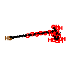 C[C@H](O[C@@H]1O[C@@H](CO)C(O)C(O)C1O)C(CO)OC(OCCOCCOCCOCCOCCOCCOCCCCCCCCCCCS)[C@@H](O)CO